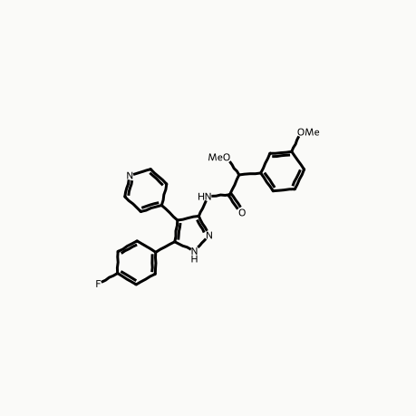 COc1cccc(C(OC)C(=O)Nc2n[nH]c(-c3ccc(F)cc3)c2-c2ccncc2)c1